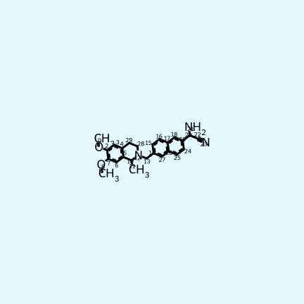 COc1cc2c(cc1OC)C(C)N(Cc1ccc3cc(C(N)C#N)ccc3c1)CC2